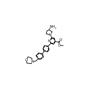 COC(=O)c1cc(-c2ccc(-c3ccc(CN4CCOCC4)cc3)cc2)nc(N2CC[C@@H](N)C2)c1